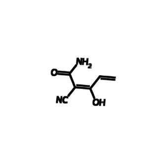 C=CC(O)=C(C#N)C(N)=O